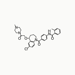 Cc1ccccc1C(=O)Nc1ccc(C(=O)N2CCCC(OCC(=O)N3CCN(C)CC3)c3cc(Cl)ccc32)cc1